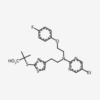 CCc1cnc(N(CCOc2ccc(F)cc2)CCc2csc(SC(C)(C)C(=O)O)n2)nc1